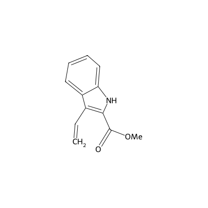 C=Cc1c(C(=O)OC)[nH]c2ccccc12